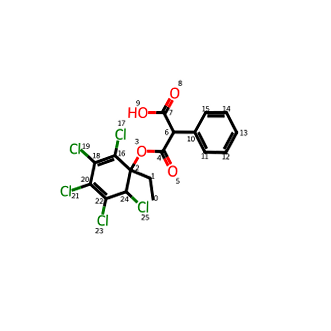 CCC1(OC(=O)C(C(=O)O)c2ccccc2)C(Cl)=C(Cl)C(Cl)=C(Cl)C1Cl